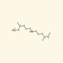 COC(C)CCCNCCCC(C)CO